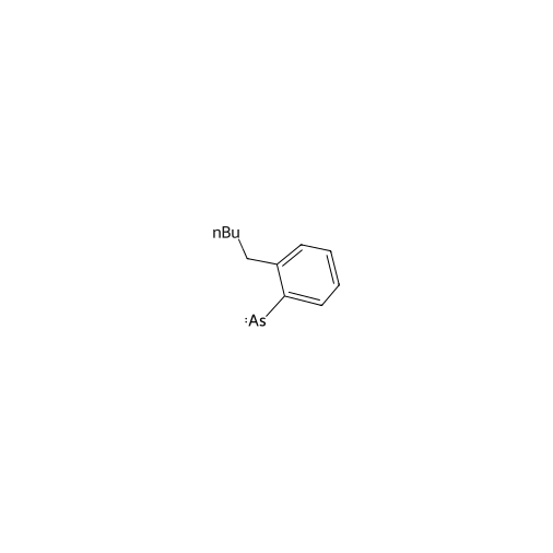 CCCCCc1ccccc1[As]